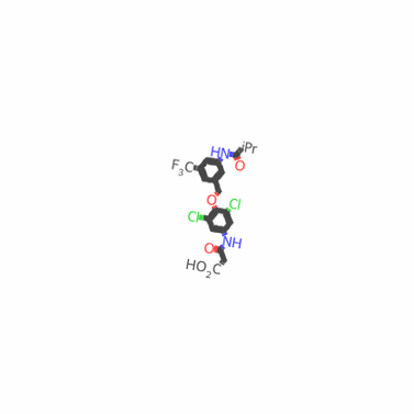 CC(C)C(=O)Nc1cc(COc2c(Cl)cc(NC(=O)CC(=O)O)cc2Cl)cc(C(F)(F)F)c1